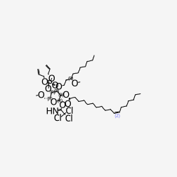 C=CCOP(=O)(OCC=C)O[C@H]1[C@H](OCC[C@@H](CCCCCCC)OC)[C@@H](OC(=O)CCCCCCCCC/C=C\CCCCCC)[C@@H](OC(=N)C(Cl)(Cl)Cl)O[C@@H]1COC